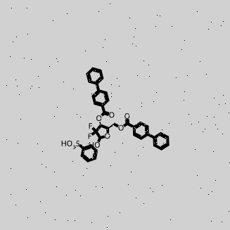 O=C(OC[C@H]1OC(O)C(F)(F)[C@@H]1OC(=O)c1ccc(-c2ccccc2)cc1)c1ccc(-c2ccccc2)cc1.O=S(=O)(O)c1ccccc1